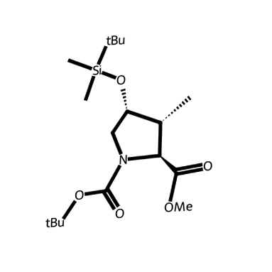 COC(=O)[C@@H]1[C@@H](C)[C@@H](O[Si](C)(C)C(C)(C)C)CN1C(=O)OC(C)(C)C